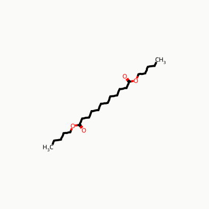 CCCCCOC(=O)CCCCCCCCCCC(=O)OCCCCC